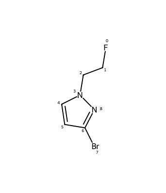 FCCn1ccc(Br)n1